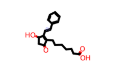 O=C(O)CCCCCCC1=C(/C=C/c2ccccc2)C(O)CC1=O